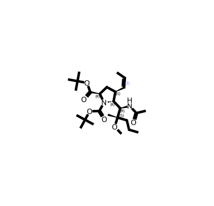 C/C=C\[C@@H]1C[C@H](C(=O)OC(C)(C)C)N(C(=O)OC(C)(C)C)[C@H]1[C@@H](NC(C)=O)[C@](C)(CCC)OC